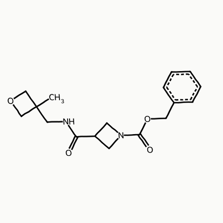 CC1(CNC(=O)C2CN(C(=O)OCc3ccccc3)C2)COC1